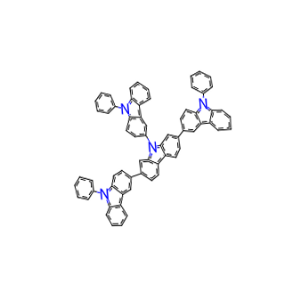 c1ccc(-n2c3ccccc3c3cc(-c4ccc5c6ccc(-c7ccc8c(c7)c7ccccc7n8-c7ccccc7)cc6n(-c6ccc7c(c6)c6ccccc6n7-c6ccccc6)c5c4)ccc32)cc1